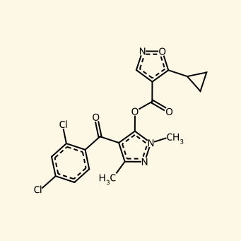 Cc1nn(C)c(OC(=O)c2cnoc2C2CC2)c1C(=O)c1ccc(Cl)cc1Cl